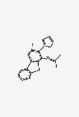 C[C](C)=[Zr][c]1c2c(cc(C)c1C1=CC=CC1)-c1ccccc1C2